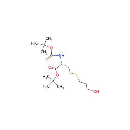 CC(C)(C)OC(=O)N[C@H](CCSCCCO)C(=O)OC(C)(C)C